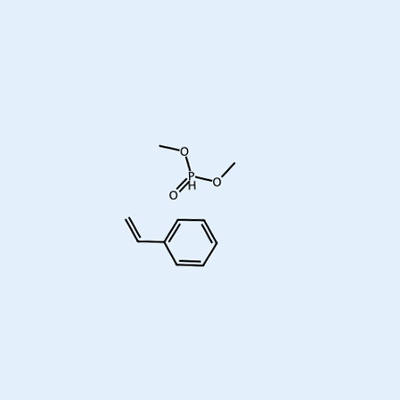 C=Cc1ccccc1.CO[PH](=O)OC